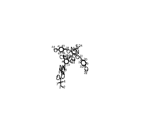 CCC(C)(C)C(=O)On1cc(-c2cc(Cl)c(NC(=O)c3c(OCc4ccc(OC)cc4)nc(SC)nc3OCc3ccc(OC)cc3)c(Cl)c2)nn1